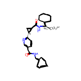 O=C(NCc1ccccc1)c1ccc([C@@H]2CC2C(=O)N[C@H](C(=O)O)C2CCCCC2)nc1